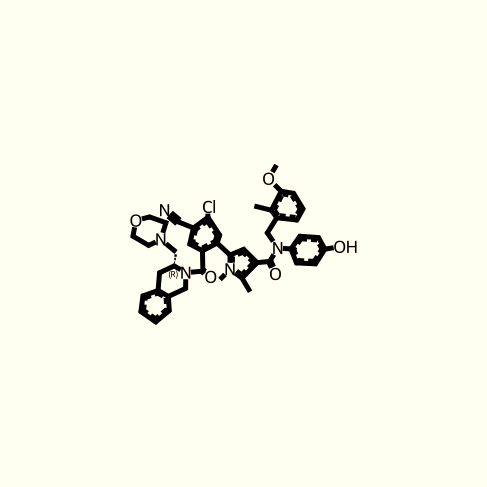 COc1cccc(CN(C(=O)c2cc(-c3cc(Cl)c(C#N)cc3C(=O)N3Cc4ccccc4C[C@@H]3CN3CCOCC3)n(C)c2C)c2ccc(O)cc2)c1C